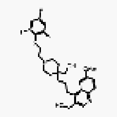 COc1ccc2ncc(CO)c(CCCC3(CO)CCN(CCSc4c(F)cc(F)cc4F)CC3)c2c1